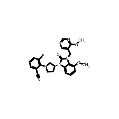 COc1ncncc1Cn1c(=O)n([C@@H]2CCN(c3c(F)cccc3C#N)C2)c2cccc(OC)c21